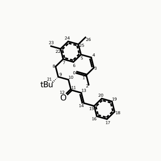 C=C(C)/C=C\c1cc(C[C@H](CC(=O)/C=C/c2ccccc2)C(C)(C)C)c(C)cc1C